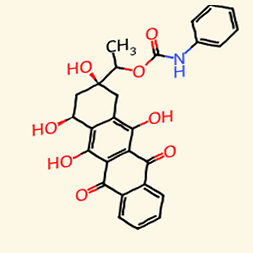 CC(OC(=O)Nc1ccccc1)[C@]1(O)Cc2c(O)c3c(c(O)c2[C@@H](O)C1)C(=O)c1ccccc1C3=O